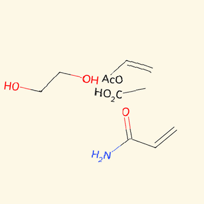 C=CC(N)=O.C=COC(C)=O.CC(=O)O.OCCO